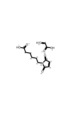 C=CC(=O)O.O=C(O)CCCCCN1C(=O)C=CC1=O